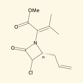 C=CC[C@@H]1C(Cl)C(=O)N1C(C(=O)OC)=C(C)C